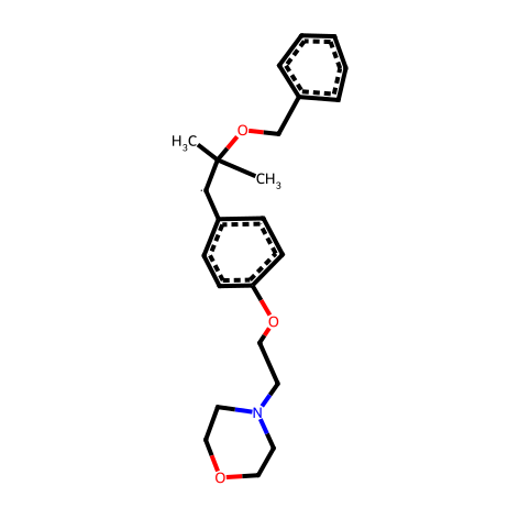 CC(C)([CH]c1ccc(OCCN2CCOCC2)cc1)OCc1ccccc1